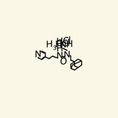 CNCCN(CCC12CC3CC(CC(C3)C1)C2)C(=O)NCCCc1ccncc1.Cl.Cl